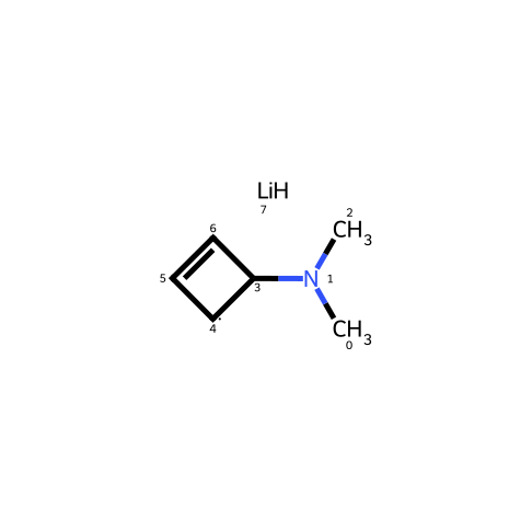 CN(C)C1[CH]C=C1.[LiH]